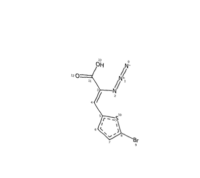 [N-]=[N+]=NC(=Cc1ccc(Br)s1)C(=O)O